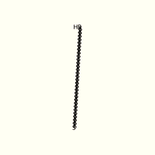 B=S=S=S=S=S=S=S=S=S=S=S=S=S=S=S=S=S=S=S=S=S=S=S=S=S=S=S=S=S=S=S=S=S=S=S=S=S=S=S=S=S=S=S=S=S=S=S=S=S=S=S=S=S=S=S=S=S=S=S=S